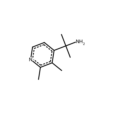 Cc1nccc(C(C)(C)N)c1C